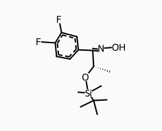 C[C@H](O[Si](C)(C)C(C)(C)C)/C(=N\O)c1ccc(F)c(F)c1